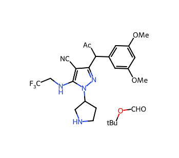 CC(C)(C)OC=O.COc1cc(OC)cc(C(C(C)=O)c2nn(C3CCNC3)c(NCC(F)(F)F)c2C#N)c1